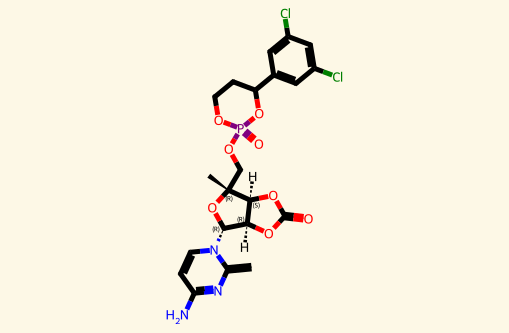 C=C1N=C(N)C=CN1[C@@H]1O[C@](C)(COP2(=O)OCCC(c3cc(Cl)cc(Cl)c3)O2)[C@H]2OC(=O)O[C@@H]12